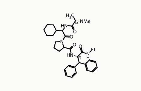 CCNC(=O)[C@@H](NC(=O)C1CCCN1C(=O)C(NC(=O)[C@H](C)NC)C1CCCCC1)C(c1ccccc1)c1ccccc1